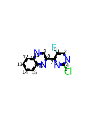 Fc1cnc(Cl)nc1-c1cnc2ccccc2n1